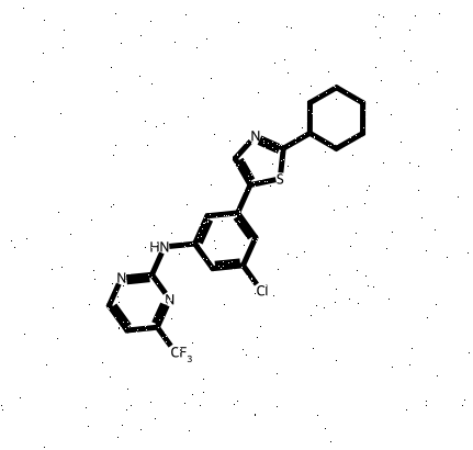 FC(F)(F)c1ccnc(Nc2cc(Cl)cc(-c3cnc(C4CCCCC4)s3)c2)n1